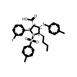 CCCC[C@@H]1[C@@H](Sc2ccc(C)cc2)[C@@H](C(=O)O)[C@H](c2cccc(F)c2)N1S(=O)(=O)c1ccc(C)cc1